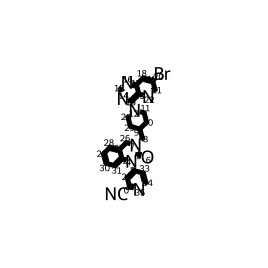 N#Cc1cc(N2C(=O)N(CC3CCN(c4ncnc5cc(Br)cnc45)CC3)Cc3ccccc32)ccn1